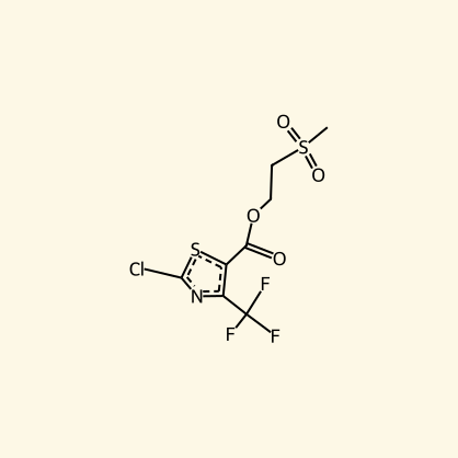 CS(=O)(=O)CCOC(=O)c1sc(Cl)nc1C(F)(F)F